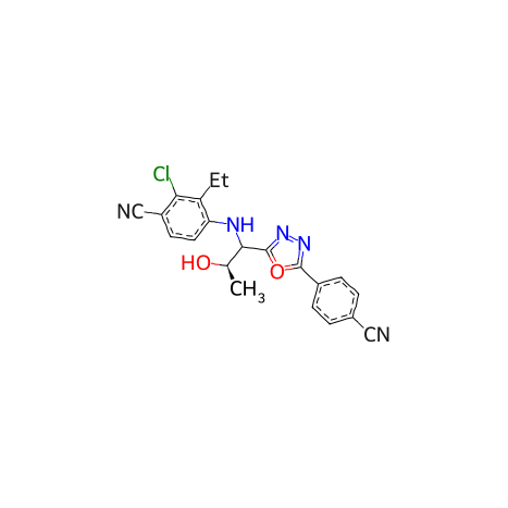 CCc1c(NC(c2nnc(-c3ccc(C#N)cc3)o2)[C@@H](C)O)ccc(C#N)c1Cl